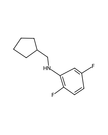 Fc1ccc(F)c(NCC2CCCC2)c1